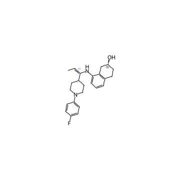 C/C=C(/Nc1cccc2c1C[C@@H](O)CC2)C1CCN(c2ccc(F)cc2)CC1